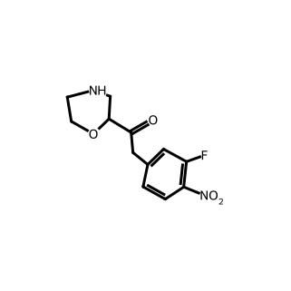 O=C(Cc1ccc([N+](=O)[O-])c(F)c1)C1CNCCO1